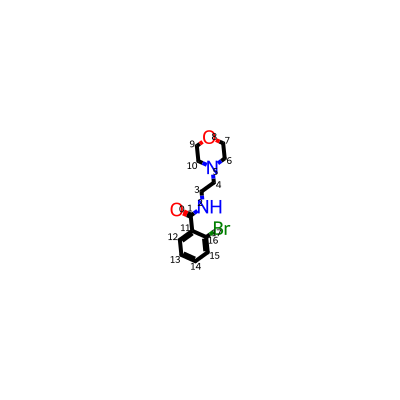 O=C(NCCN1CCOCC1)c1ccccc1Br